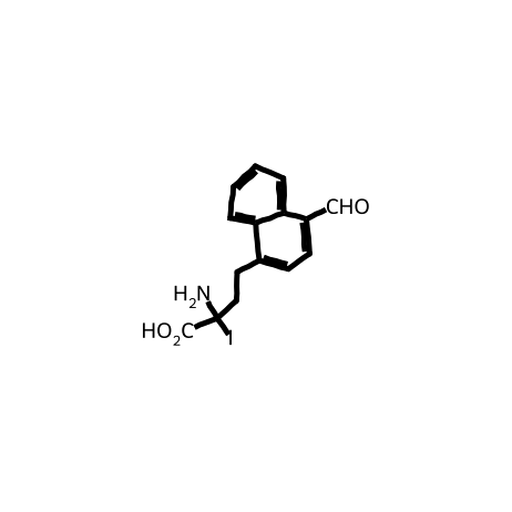 NC(I)(CCc1ccc(C=O)c2ccccc12)C(=O)O